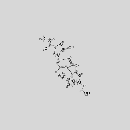 CNC(=O)[C@H]1CN(c2cc(F)c3c(c2)oc(=NOCCO)n3C(C)(C)C)C(=O)O1